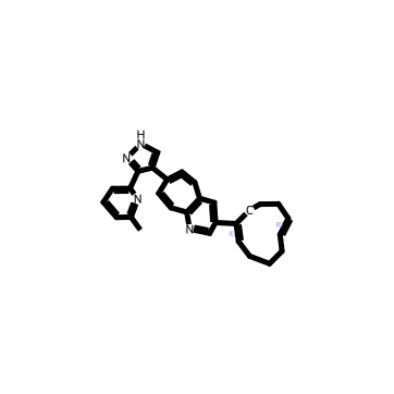 Cc1cccc(-c2n[nH]cc2C2=C=Cc3cc(/C4=C/CCC/C=C/CCC4)cnc3C=C2)n1